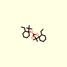 CCC1CCCCC1(OC(=O)OC1(C(C)(C)C)CCCCC1CC)C(C)(C)C